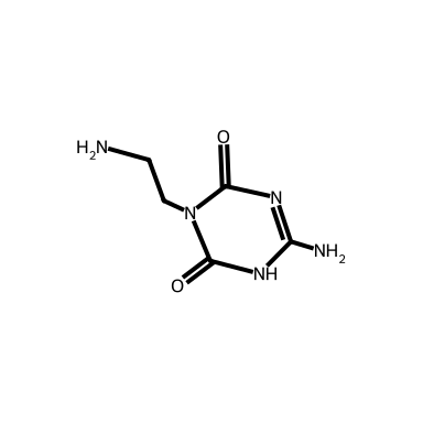 NCCn1c(=O)nc(N)[nH]c1=O